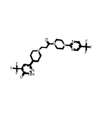 O=C(CCN1CCC(c2cc(C(F)(F)F)c(=O)[nH]n2)CC1)N1CCN(c2ncc(C(F)(F)F)cn2)CC1